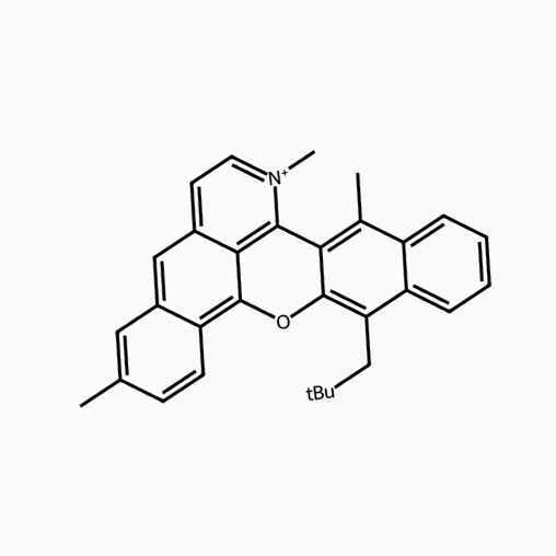 Cc1ccc2c3c4c([n+](C)ccc4cc2c1)-c1c(c(CC(C)(C)C)c2ccccc2c1C)O3